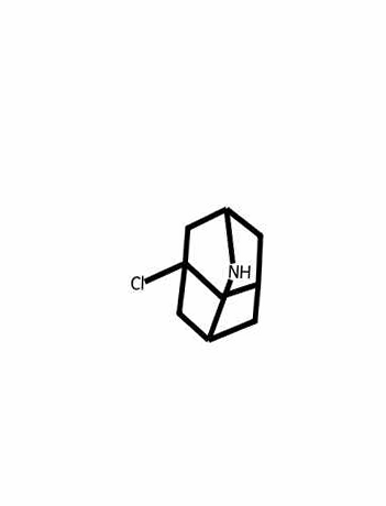 ClC12CC3CC(C1)NC(C3)C2